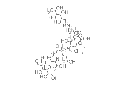 CC(=O)C(=O)O.CC(C)C(N)C(=O)O.CN.CO.CSCC[C@H](N)C(=O)O.C[C@H](O)[C@H](O)[C@@H](O)[C@@H](O)C=O.NC(CC(=O)O)C(=O)O.O=C(CO)[C@@H](O)[C@H](O)[C@@H](O)CO